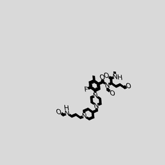 CNC(=O)C(CCC=O)N(C=O)C(=O)c1cc(N2CCN(CC3CCN(CCCNC=O)CC3)CC2)c(F)cc1C